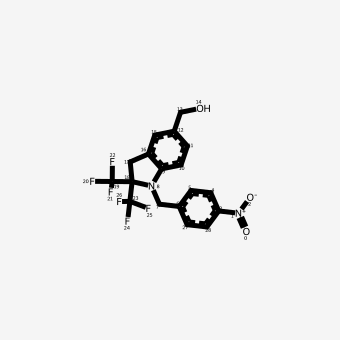 O=[N+]([O-])c1ccc(CN2c3ccc(CO)cc3CC2(C(F)(F)F)C(F)(F)F)cc1